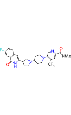 CNC(=O)c1cc(C(F)(F)F)c(N2CCC(N3CCC(c4cc5ccc(F)cc5c(=O)[nH]4)C3)CC2)cn1